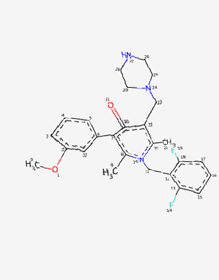 COc1cccc(-c2c(C)n(Cc3c(F)cccc3F)c(C)c(CN3CCNCC3)c2=O)c1